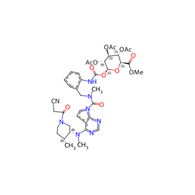 COC(=O)[C@H]1O[C@@H](OC(=O)Nc2ccccc2CN(C)C(=O)n2ccc3c(N(C)[C@H]4CN(C(=O)CC#N)CC[C@H]4C)ncnc32)[C@H](OC(C)=O)[C@@H](OC(C)=O)[C@@H]1OC(C)=O